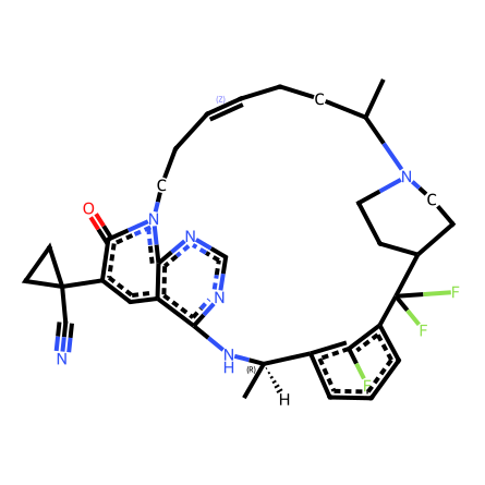 CC1CC/C=C\CCn2c(=O)c(C3(C#N)CC3)cc3c(ncnc32)N[C@H](C)c2cccc(c2F)C(F)(F)C2CCN1CC2